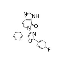 O=c1c2[nH]cnc2ccn1-c1nc(-c2ccc(F)cc2)oc1-c1ccccc1